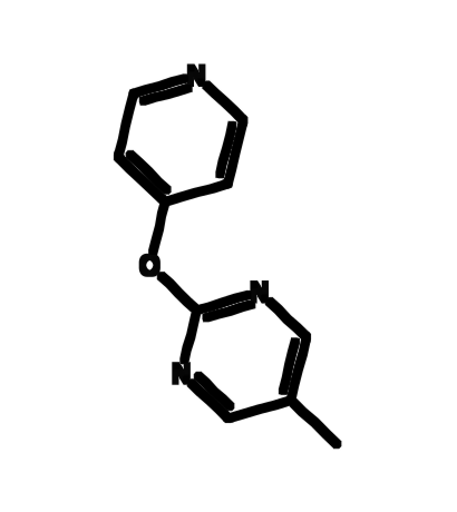 Cc1cnc(Oc2ccncc2)nc1